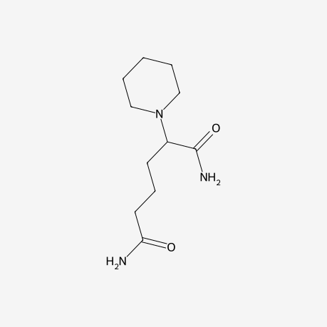 NC(=O)CCCC(C(N)=O)N1CCCCC1